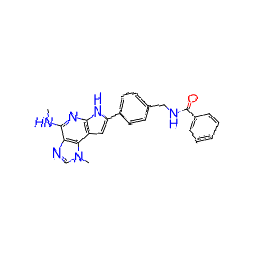 CNc1nc2[nH]c(-c3ccc(CNC(=O)c4ccccc4)cc3)cc2c2c1ncn2C